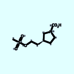 CS(=O)(=O)OCC[C@H]1CCN(C(=O)O)C1